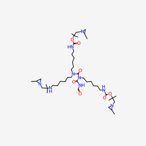 CC1CN1CC(C)(C)NCCCCCCN(CCCCCCNC(=O)OC(C)(C)CN1CC1C)C(=O)N(CCCCCCNC(=O)OC(C)(C)CN1CC1C)C(=O)NC=O